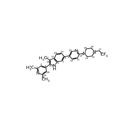 Cc1cc(-c2[nH]c3cc(-c4ccc(N5CCN(CC(F)(F)F)CC5)nc4)ccc3c2C)cc(C)n1